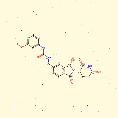 COc1cccc(NC(=O)NCc2ccc3c(c2)C(O)N(C2CCC(=O)NC2=O)C3=O)c1